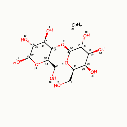 OC[C@H]1O[C@@H](O[C@H]2[C@H](O)[C@@H](O)[C@H](O)O[C@@H]2CO)[C@H](O)[C@@H](O)[C@H]1O.[CaH2]